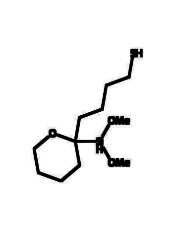 CO[SiH](OC)C1(CCCCS)CCCCO1